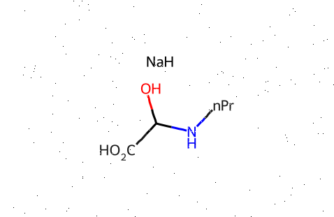 CCCNC(O)C(=O)O.[NaH]